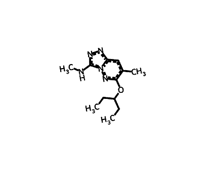 CCC(CC)Oc1nn2c(NC)nnc2cc1C